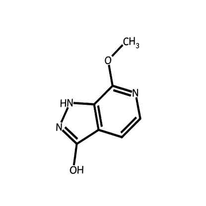 COc1nccc2c(O)n[nH]c12